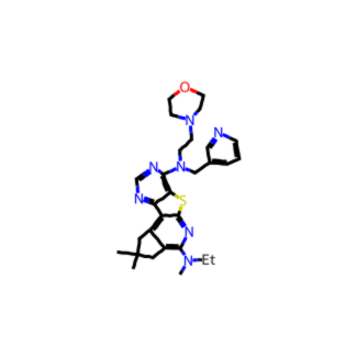 CCN(C)c1nc2sc3c(N(CCN4CCOCC4)Cc4cccnc4)ncnc3c2c2c1CC(C)(C)C2